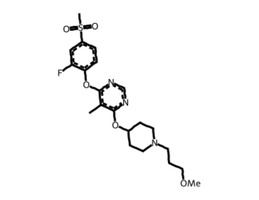 COCCCN1CCC(Oc2ncnc(Oc3ccc(S(C)(=O)=O)cc3F)c2C)CC1